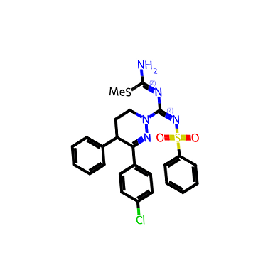 CS/C(N)=N\C(=N\S(=O)(=O)c1ccccc1)N1CCC(c2ccccc2)C(c2ccc(Cl)cc2)=N1